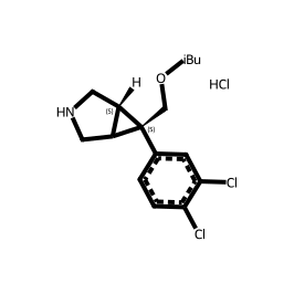 CCC(C)OC[C@@]1(c2ccc(Cl)c(Cl)c2)C2CNC[C@@H]21.Cl